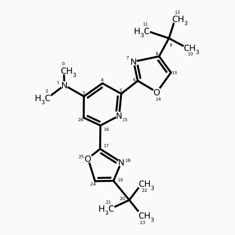 CN(C)c1cc(-c2nc(C(C)(C)C)co2)nc(-c2nc(C(C)(C)C)co2)c1